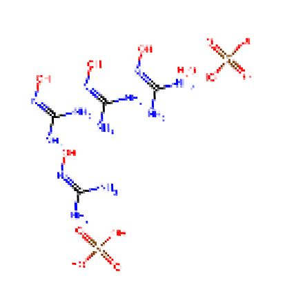 NC(N)=NO.NC(N)=NO.NC(N)=NO.NC(N)=NO.O.O=S(=O)(O)O.O=S(=O)(O)O